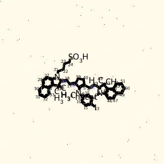 CCCCC[N+]1=C(/C=C/C2=C(N(C)c3ccc(I)cc3)C(=C/C=C3/N(CCCCS(=O)(=O)O)c4ccc5ccccc5c4C3(C)C)/CC2)C(C)(C)c2c1ccc1ccccc21